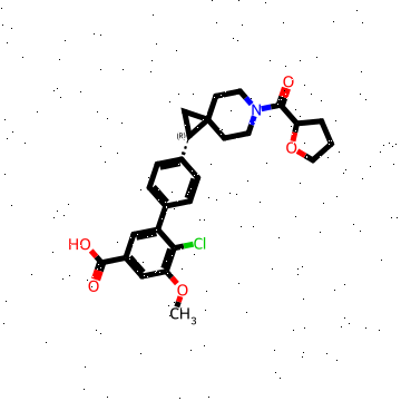 COc1cc(C(=O)O)cc(-c2ccc([C@@H]3CC34CCN(C(=O)C3CCCO3)CC4)cc2)c1Cl